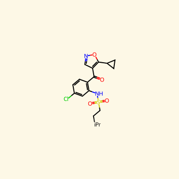 CC(C)CCS(=O)(=O)Nc1cc(Cl)ccc1C(=O)c1cnoc1C1CC1